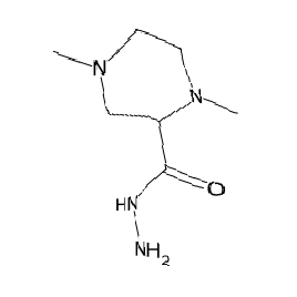 CN1CCN(C)C(C(=O)NN)C1